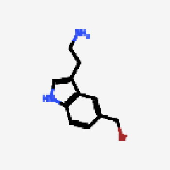 NCCc1c[nH]c2ccc(CBr)cc12